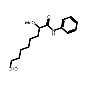 COC(CCCCCCC=O)C(=O)Nc1ccccc1